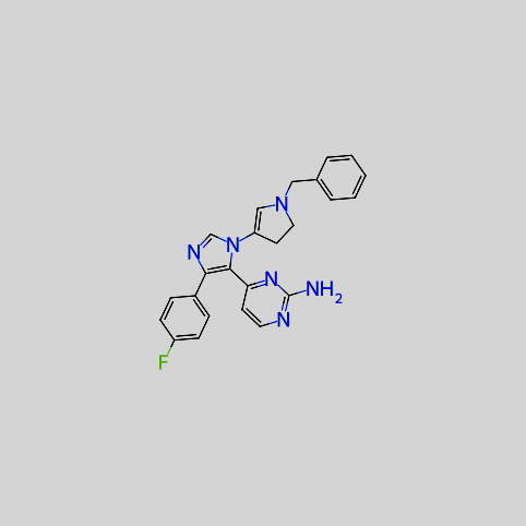 Nc1nccc(-c2c(-c3ccc(F)cc3)ncn2C2=CN(Cc3ccccc3)CC2)n1